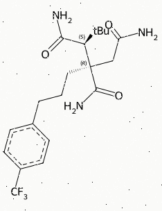 CC(C)(C)[C@H](C(N)=O)[C@@](CCCc1ccc(C(F)(F)F)cc1)(CC(N)=O)C(N)=O